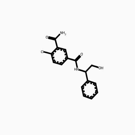 NC(=O)c1cc(C(=O)NC(CO)c2ccccc2)ccc1Cl